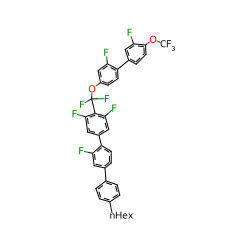 CCCCCCc1ccc(-c2ccc(-c3cc(F)c(C(F)(F)Oc4ccc(-c5ccc(OC(F)(F)F)c(F)c5)c(F)c4)c(F)c3)c(F)c2)cc1